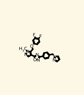 Cn1ncc(-c2nc(-c3ccc(Cn4cccn4)cc3)no2)c1COc1ccc(F)c(F)c1